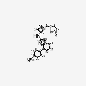 CN1CCC(Cn2cc(Nc3nc4c(-c5ccc(C#N)cc5)cccn4n3)cn2)C1